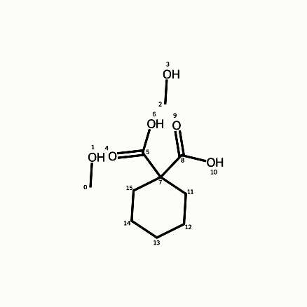 CO.CO.O=C(O)C1(C(=O)O)CCCCC1